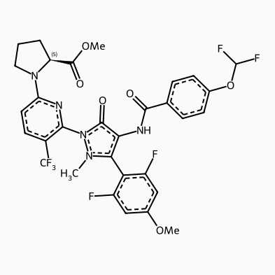 COC(=O)[C@@H]1CCCN1c1ccc(C(F)(F)F)c(-n2c(=O)c(NC(=O)c3ccc(OC(F)F)cc3)c(-c3c(F)cc(OC)cc3F)n2C)n1